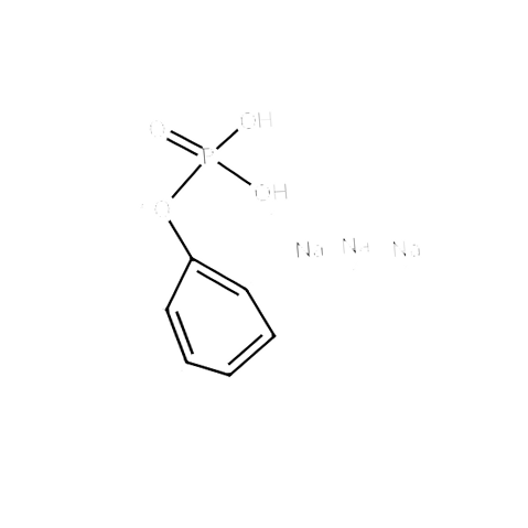 O=P(O)(O)Oc1ccccc1.[Na+].[Na+].[Na+]